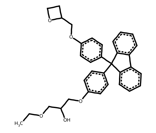 CCOCC(O)COc1ccc(C2(c3ccc(OCC4CCO4)cc3)c3ccccc3-c3ccccc32)cc1